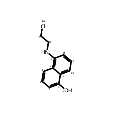 Oc1cccc2c(NCCCl)cccc12